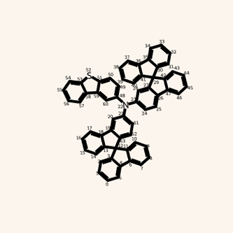 c1ccc2c(c1)-c1ccccc1C21c2ccccc2-c2cc(N(c3ccc4c(c3)C3(c5ccccc5-c5ccccc53)c3ccccc3-4)c3ccc4sc5ccccc5c4c3)ccc21